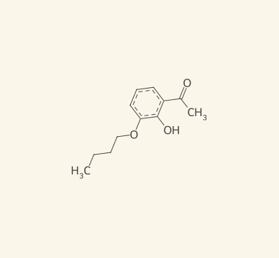 CCCCOc1cccc(C(C)=O)c1O